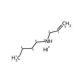 C=CCNCCCC.I